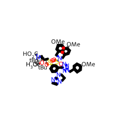 COc1ccc(CN(Cc2ccc(OC)cc2)S(=O)(=O)c2c(S(=O)(=O)CC(CN(C(=O)O)C(C)(C)C)O[Si](C)(C)C(C)(C)C)ccc(N3CCCn4ccnc43)c2-c2nnn(Cc3ccc(OC)cc3)n2)cc1